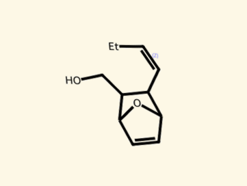 CC/C=C\C1C2C=CC(O2)C1CO